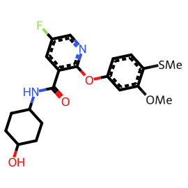 COc1cc(Oc2ncc(F)cc2C(=O)NC2CCC(O)CC2)ccc1SC